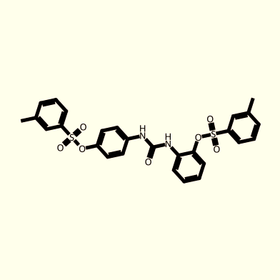 Cc1cccc(S(=O)(=O)Oc2ccc(NC(=O)Nc3ccccc3OS(=O)(=O)c3cccc(C)c3)cc2)c1